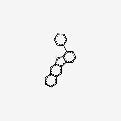 c1ccc(-c2cccc3c2oc2cc4ccccc4cc23)cc1